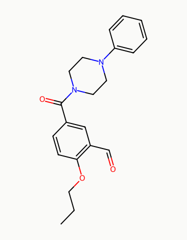 CCCOc1ccc(C(=O)N2CCN(c3ccccc3)CC2)cc1C=O